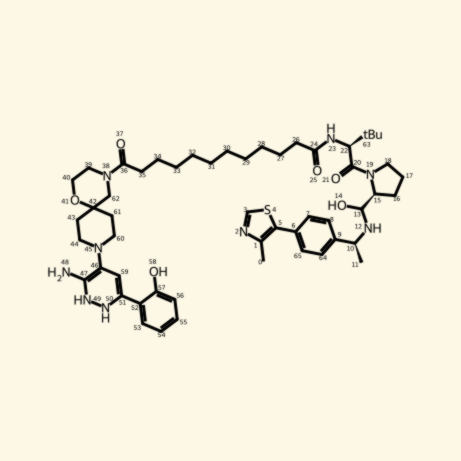 Cc1ncsc1-c1ccc([C@H](C)NC(O)[C@@H]2CCCN2C(=O)[C@@H](NC(=O)CCCCCCCCCCC(=O)N2CCOC3(CCN(C4=C(N)NNC(c5ccccc5O)=C4)CC3)C2)C(C)(C)C)cc1